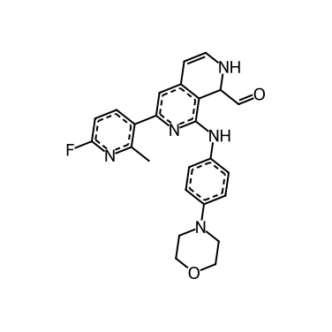 Cc1nc(F)ccc1-c1cc2c(c(Nc3ccc(N4CCOCC4)cc3)n1)C(C=O)NC=C2